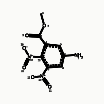 COC(=O)c1cc(N)cc([N+](=O)[O-])c1[N+](=O)[O-]